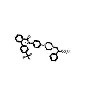 CCOC(=O)C(CN1CCN(c2ccc(NC(=O)c3ccccc3-c3ccc(C(C)(F)F)cc3)cc2)CC1)c1ccccc1